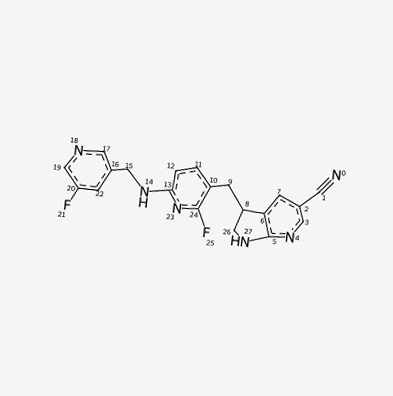 N#Cc1cnc2c(c1)C(Cc1ccc(NCc3cncc(F)c3)nc1F)CN2